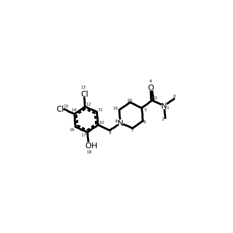 CN(C)C(=O)C1CCN(Cc2cc(Cl)c(Cl)cc2O)CC1